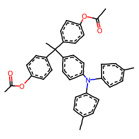 CC(=O)Oc1ccc(C(C)(c2ccc(OC(C)=O)cc2)c2ccc(N(c3ccc(C)cc3)c3ccc(C)cc3)cc2)cc1